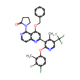 Cc1c(Oc2ncc(C(F)(F)F)c(C)c2-c2cc(OCc3ccccc3)c3c(N4CCCC4=O)nccc3n2)ccc(F)c1F